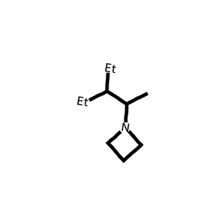 CCC(CC)C(C)N1CCC1